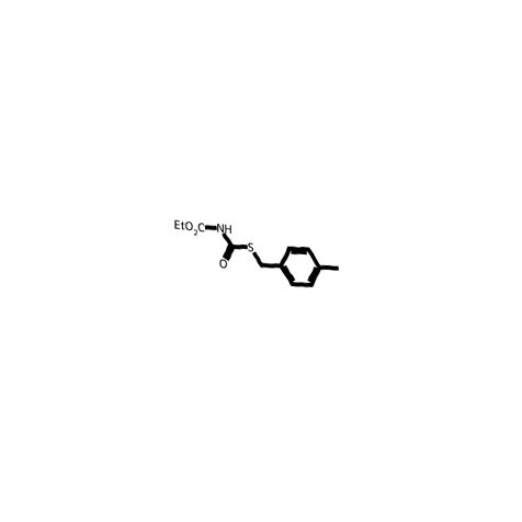 CCOC(=O)NC(=O)SCc1ccc(C)cc1